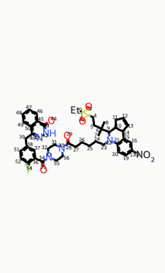 CCS(=O)(=O)CCC(C)(C)C1C2CC=CC2c2cc([N+](=O)[O-])ccc2N1CCCCCC(=O)N1CCN(C(=O)c2cc(Cc3n[nH]c(=O)c4ccccc34)ccc2F)CC1